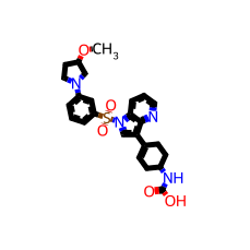 COC1CCN(c2cccc(S(=O)(=O)n3cc(C4=CCC(NC(=O)O)CC4)c4ncccc43)c2)C1